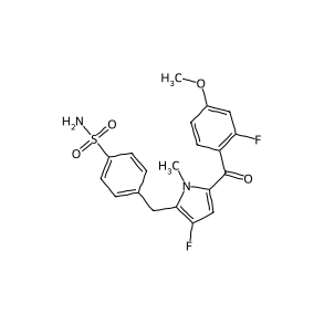 COc1ccc(C(=O)c2cc(F)c(Cc3ccc(S(N)(=O)=O)cc3)n2C)c(F)c1